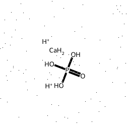 O=P(O)(O)O.[CaH2].[H+].[H+]